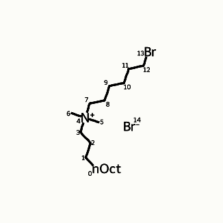 CCCCCCCCCCC[N+](C)(C)CCCCCCBr.[Br-]